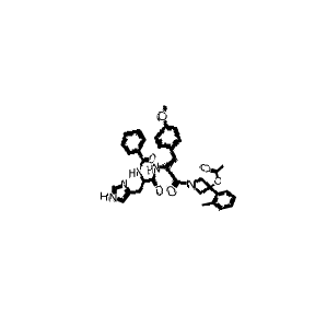 COc1ccc(CC(NC(=O)C(Cc2c[nH]cn2)NC(=O)c2ccccc2)C(=O)N2CC(OC(C)=O)(c3ccccc3C)C2)cc1